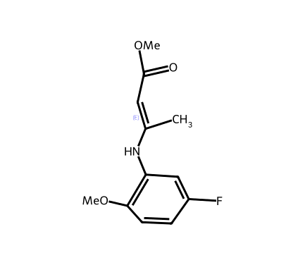 COC(=O)/C=C(\C)Nc1cc(F)ccc1OC